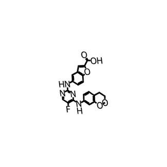 O=C(O)c1cc2cc(Nc3ncc(F)c(Nc4ccc5c(c4)OOCC5)n3)ccc2o1